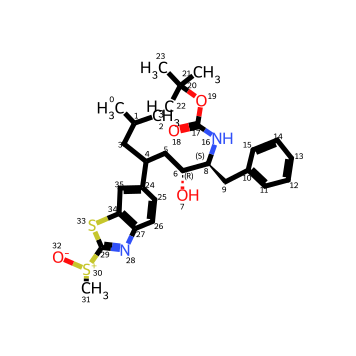 CC(C)CC(C[C@@H](O)[C@H](Cc1ccccc1)NC(=O)OC(C)(C)C)c1ccc2nc([S+](C)[O-])sc2c1